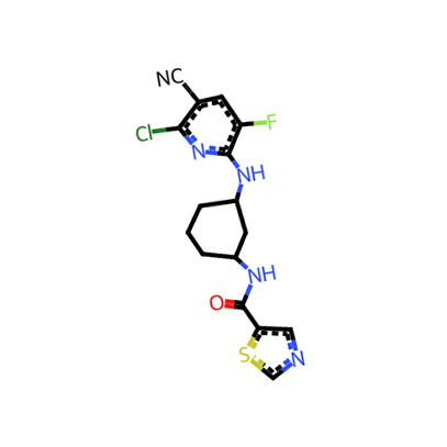 N#Cc1cc(F)c(NC2CCCC(NC(=O)c3cncs3)C2)nc1Cl